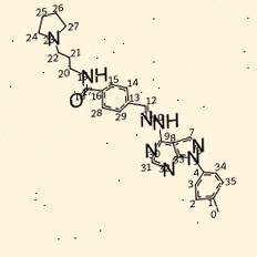 Cc1ccc(-n2ncc3c(N/N=C/c4ccc(C(=O)NCCCN5CCCC5)cc4)ncnc32)cc1